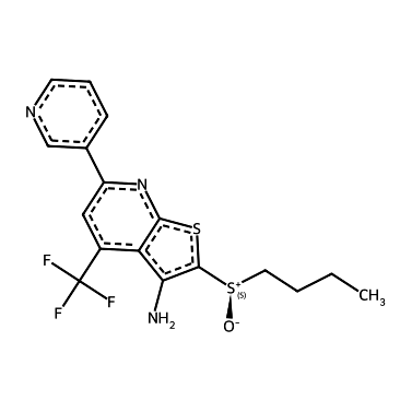 CCCC[S@@+]([O-])c1sc2nc(-c3cccnc3)cc(C(F)(F)F)c2c1N